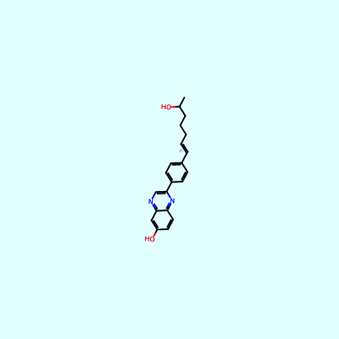 CC(O)CCC/C=C/c1ccc(-c2cnc3cc(O)ccc3n2)cc1